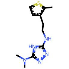 Cc1sccc1CCNc1nnc(N(C)C)[nH]1